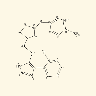 Fc1ccccc1-c1nn[nH]c1COC1CCN(Cc2ccc(C(F)(F)F)nc2)C1